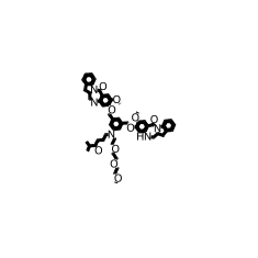 COCCOCCOCCN(CCCC(=O)C(C)C)c1cc(COc2cc3c(cc2OC)C(=O)N2c4ccccc4CC2C=N3)cc(COc2cc3c(cc2OC)C(=O)N2c4ccccc4CC2CN3)c1